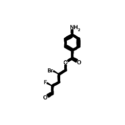 Nc1ccc(C(=O)OC[C@H](Br)C[C@H](F)C=O)cc1